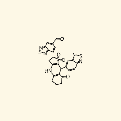 O=C1CCCC2=C1C(c1ccc3nsnc3c1)C1=C(CCS1(=O)=O)N2.O=Cc1ccc2nsnc2c1